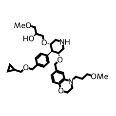 COCCCN1CCOc2ccc(CO[C@H]3CNC[C@@H](OC[C@@H](O)COC)[C@@H]3c3ccc(COCC4CC4)cc3)cc21